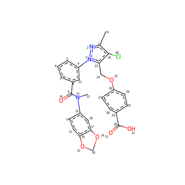 Cc1nn(-c2cccc(C(=O)N(C)c3ccc4c(c3)OCO4)c2)c(COc2ccc(C(=O)O)cc2)c1Cl